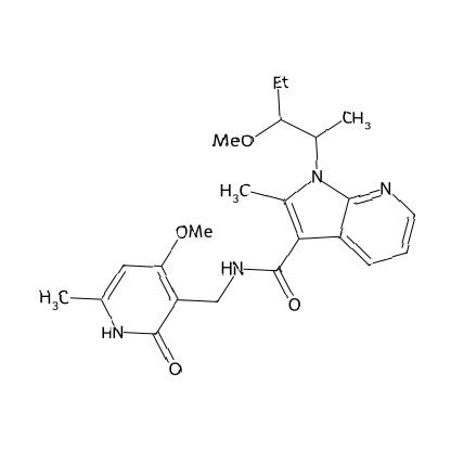 CCC(OC)C(C)n1c(C)c(C(=O)NCc2c(OC)cc(C)[nH]c2=O)c2cccnc21